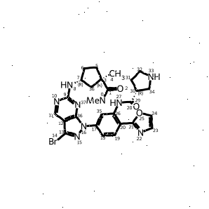 CNC(=O)[C@]1(C)CC[C@@H](Nc2ncc3c(Br)nn(-c4ccc(-c5ncco5)c(NC(=O)[C@@H]5CCNC5)c4)c3n2)C1